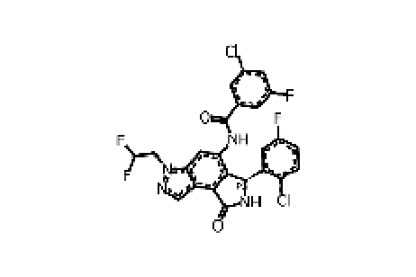 O=C(Nc1cc2c(cnn2CC(F)F)c2c1[C@@H](c1cc(F)ccc1Cl)NC2=O)c1cc(F)cc(Cl)c1